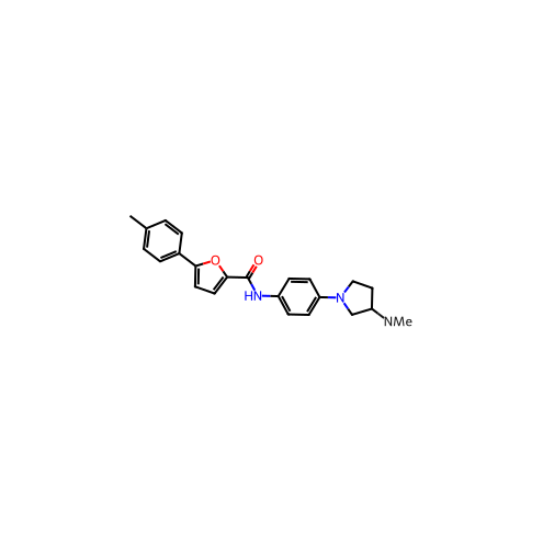 CNC1CCN(c2ccc(NC(=O)c3ccc(-c4ccc(C)cc4)o3)cc2)C1